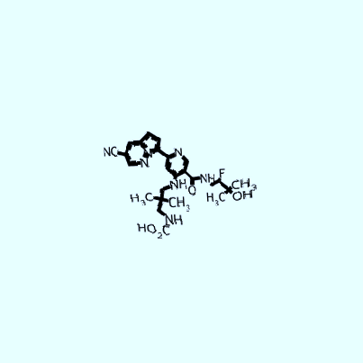 CC(C)(CNC(=O)O)CNc1cc(-c2ccc3cc(C#N)cnn23)ncc1C(=O)NCC(F)C(C)(C)O